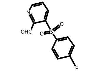 O=Cc1ncccc1S(=O)(=O)c1ccc(F)cc1